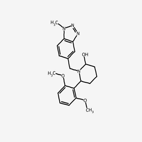 COc1cccc(OC)c1C1CCCC(O)N1Cc1ccc2c(c1)nnn2C